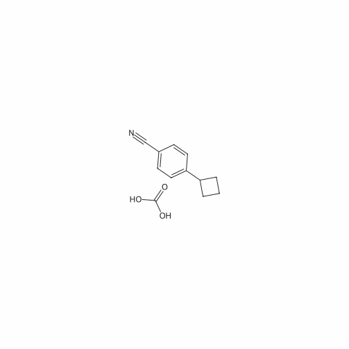 N#Cc1ccc(C2CCC2)cc1.O=C(O)O